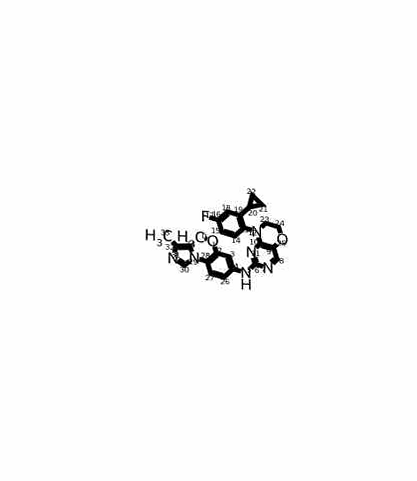 COc1cc(Nc2ncc3c(n2)N(c2ccc(F)cc2C2CC2)CCO3)ccc1-n1cnc(C)c1